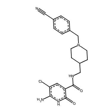 N#Cc1ccc(CN2CCC(CNC(=O)c3cc(Cl)c(N)[nH]c3=O)CC2)cc1